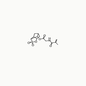 C=C(C)C(=O)NCC(=O)OC1C2CC3OS(=O)(=O)C1C3C2